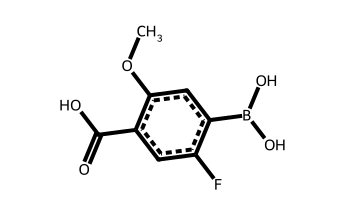 COc1cc(B(O)O)c(F)cc1C(=O)O